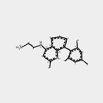 Cc1cc(C)c(-c2cccc3c(NCCN)cc(C)nc23)c(C)c1